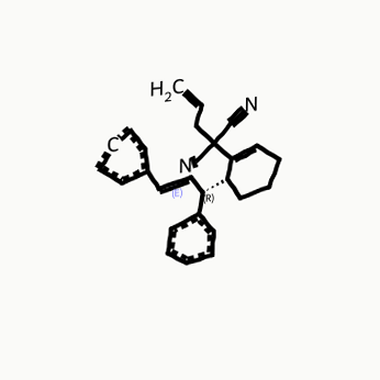 C=CCC(C#N)(C#N)C1=CCCCC1[C@@H](/C=C/c1ccccc1)c1ccccc1